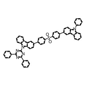 O=S(=O)(c1ccc(-c2ccc3c(c2)c2ccccc2n3-c2ccccc2)cc1)c1ccc(-c2ccc3c(c2)c2ccccc2n3-c2nc(-c3ccccc3)nc(-c3ccccc3)n2)cc1